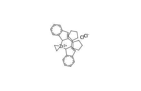 C1=C(C2CCCC2)[CH]([Zr+2]2([CH]3C(C4CCCC4)=Cc4ccccc43)[CH2][CH2]2)c2ccccc21.[Cl-].[Cl-]